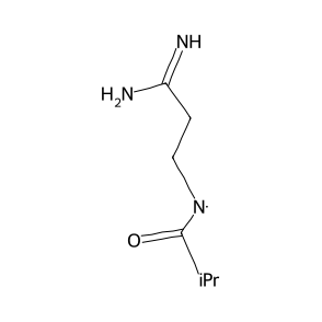 CC(C)C(=O)[N]CCC(=N)N